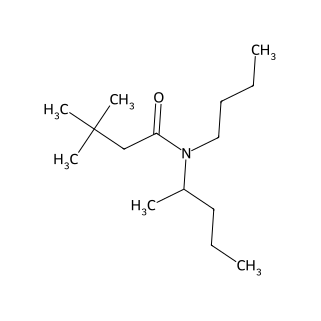 CCCCN(C(=O)CC(C)(C)C)C(C)CCC